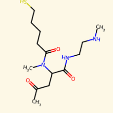 CNCCNC(=O)C(CC(C)=O)N(C)C(=O)CCCCS